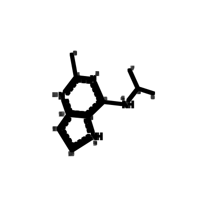 Cc1nc(NC(C)C)c2[nH]ccc2n1